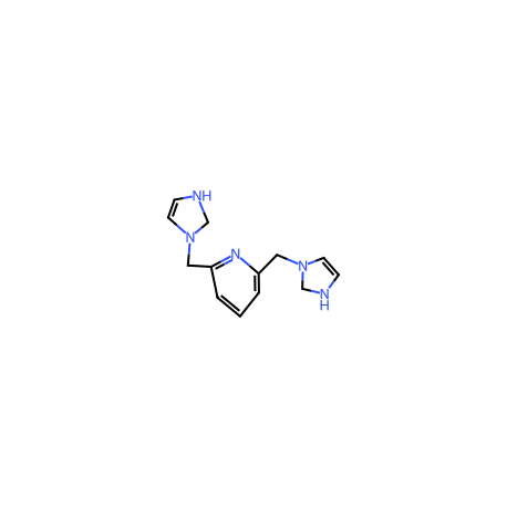 C1=CN(Cc2cccc(CN3C=CNC3)n2)CN1